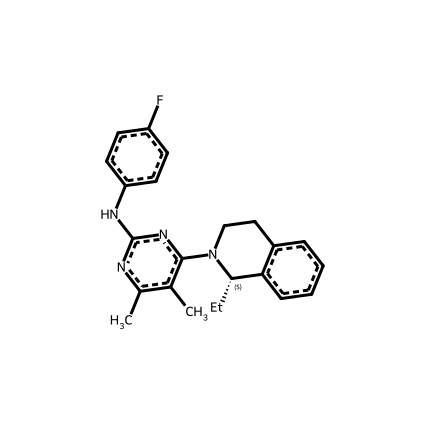 CC[C@H]1c2ccccc2CCN1c1nc(Nc2ccc(F)cc2)nc(C)c1C